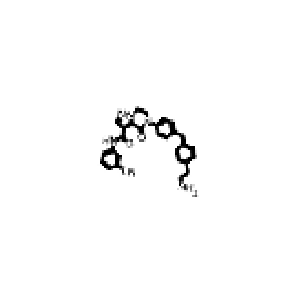 N#Cc1cccc(NC(=O)c2cnn3c2C(=O)N(c2ccc(Cc4ccc(CCN)cc4)cc2)CC3)c1